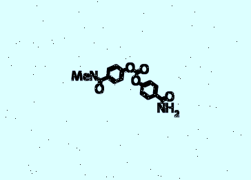 CNC(=O)c1ccc(OC(=O)Oc2ccc(C(N)=O)cc2)cc1